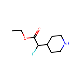 CCOC(=O)C(F)C1CCNCC1